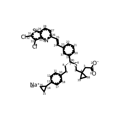 O=C([O-])CC1(CS[C@H](CCc2ccc(C3CC3)cc2)c2cccc(C=Cc3ccc4sc(Cl)c(Cl)c4n3)c2)CC1.[Na+]